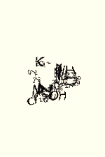 CCCCc1nc(Cl)c(C(C)O)n1-c1ccc(-c2ccccc2-c2nnn[nH]2)cc1.[K]